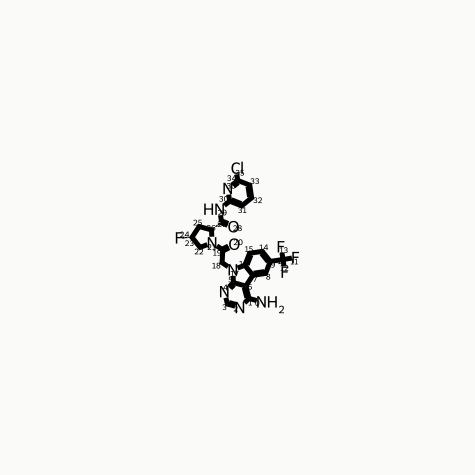 Nc1ncnc2c1c1cc(C(F)(F)F)ccc1n2CC(=O)N1C[C@H](F)C[C@@H]1C(=O)Nc1cccc(Cl)n1